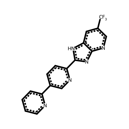 FC(F)(F)c1cnc2nc(-c3ccc(-c4ccccn4)cn3)[nH]c2c1